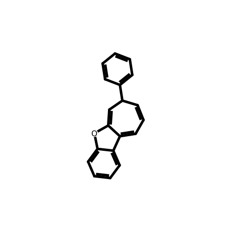 C1=CC(c2ccccc2)C=c2oc3ccccc3c2=C1